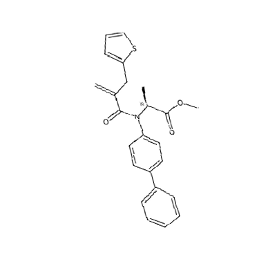 C=C(Cc1cccs1)C(=O)N(c1ccc(-c2ccccc2)cc1)[C@@H](C)C(=O)OC